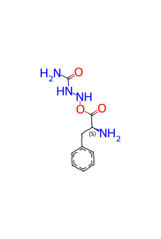 NC(=O)NNOC(=O)[C@@H](N)Cc1ccccc1